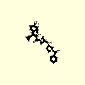 O=C(c1ccccc1)N1CC[C@H](NC2CN(C(=O)c3sc4cc(C(F)(F)F)ccc4c3C3CC3)C2)C1